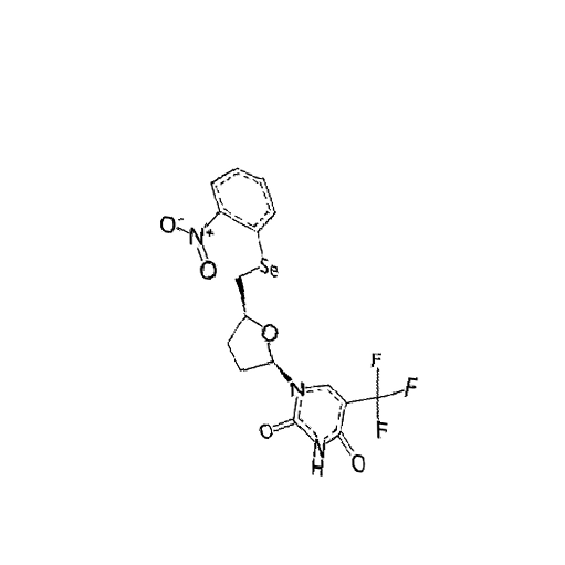 O=c1[nH]c(=O)n([C@H]2CC[C@@H](C[Se]c3ccccc3[N+](=O)[O-])O2)cc1C(F)(F)F